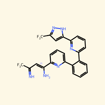 N=C(/C=C(\N)c1cccc(-c2ccccc2-c2cccc(-c3cc(C(F)(F)F)n[nH]3)n2)n1)C(F)(F)F